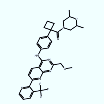 COCc1nc(Nc2ccc(C3(C(=O)N4CC(C)OC(C)C4)CCC3)cc2)c2ccc(-c3ncccc3C(F)(F)F)nc2n1